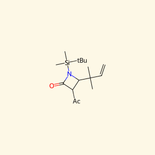 C=CC(C)(C)C1C(C(C)=O)C(=O)N1[Si](C)(C)C(C)(C)C